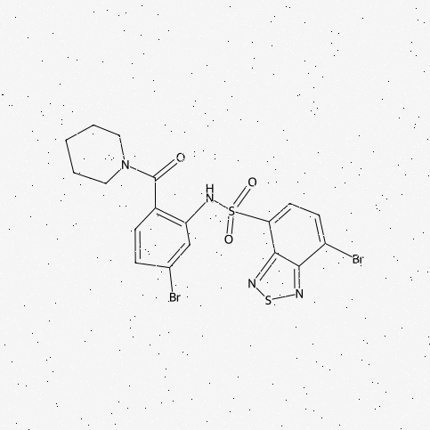 O=C(c1ccc(Br)cc1NS(=O)(=O)c1ccc(Br)c2nsnc12)N1CCCCC1